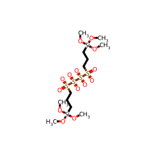 CO[Si](CCCS(=O)(=O)S(=O)(=O)S(=O)(=O)S(=O)(=O)CCC[Si](OC)(OC)OC)(OC)OC